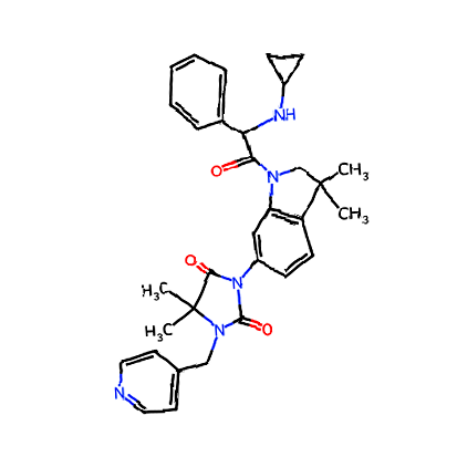 CC1(C)CN(C(=O)C(NC2CC2)c2ccccc2)c2cc(N3C(=O)N(Cc4ccncc4)C(C)(C)C3=O)ccc21